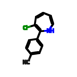 N#Cc1ccc(C2=C(Cl)C=CC=CN2)cc1